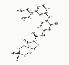 CCc1nc(NC(=O)N2CCC3(CCC(F)(F)CC3)C2=O)ccc1Oc1ccnc(/C(C=N)=C/NC)c1